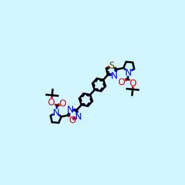 CC(C)(C)OC(=O)N1CCCC1c1nc(-c2ccc(-c3ccc(-c4csc(C5CCCN5C(=O)OC(C)(C)C)n4)cc3)cc2)no1